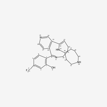 Oc1cc(C(F)(F)F)ccc1/C1=N/CCC/C=C(\NC2CCCNCC2)c2cnccc21